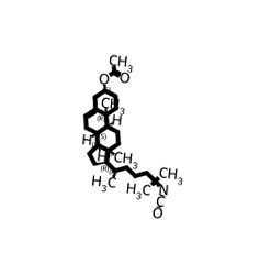 CC(=O)O[C@H]1CC[C@@]2(C)C(=CC[C@H]3[C@@H]4CC[C@H]([C@H](C)CCCC(C)(C)N=C=O)[C@@]4(C)CC[C@@H]32)C1